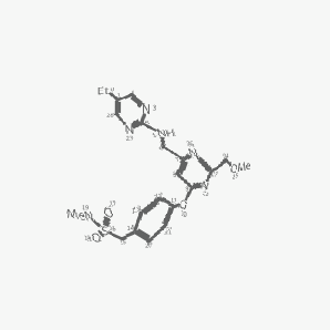 CCc1cnc(NCc2cc(Oc3ccc(CS(=O)(=O)NC)cc3)nc(COC)n2)nc1